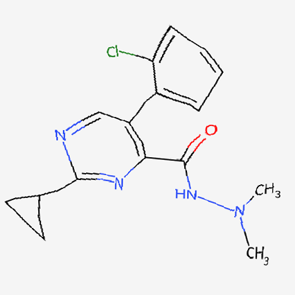 CN(C)NC(=O)c1nc(C2CC2)ncc1-c1ccccc1Cl